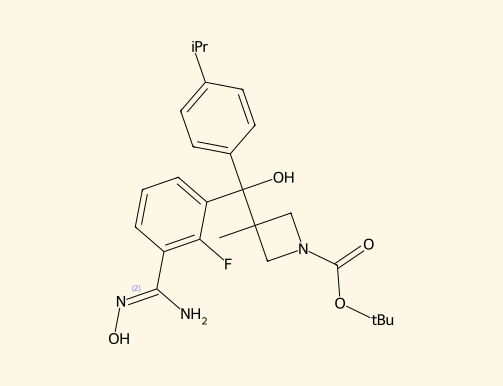 CC(C)c1ccc(C(O)(c2cccc(/C(N)=N/O)c2F)C2(C)CN(C(=O)OC(C)(C)C)C2)cc1